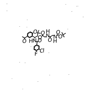 CC(=O)c1ccc2c(c1)[C@H](NC(=O)c1ccc(F)c(Cl)c1)[C@H](OC(=O)CNC(=O)CNC(=O)OC(C)(C)C)C(C)(C)O2